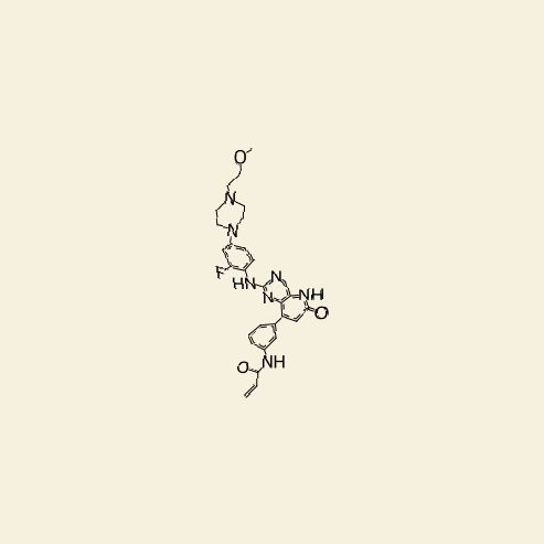 C=CC(=O)Nc1cccc(-c2cc(=O)[nH]c3cnc(Nc4ccc(N5CCN(CCOC)CC5)cc4F)nc23)c1